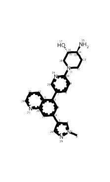 Cn1cc(-c2cc(-c3ccc(N4CC[C@H](N)[C@@H](O)C4)nc3)c3cccnc3c2)cn1